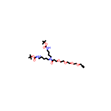 C#CCOCCOCCOCCOCCC(=O)N(CCCCCNC(=O)OC(C)(C)C)CCCCNC(=O)OC(C)(C)C